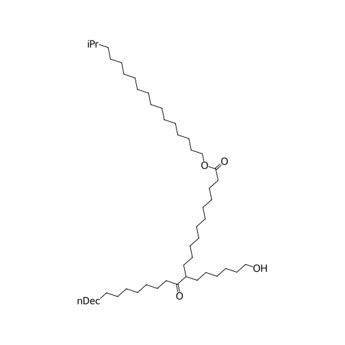 CCCCCCCCCCCCCCCCCC(=O)C(CCCCCCO)CCCCCCCCCCC(=O)OCCCCCCCCCCCCCCCC(C)C